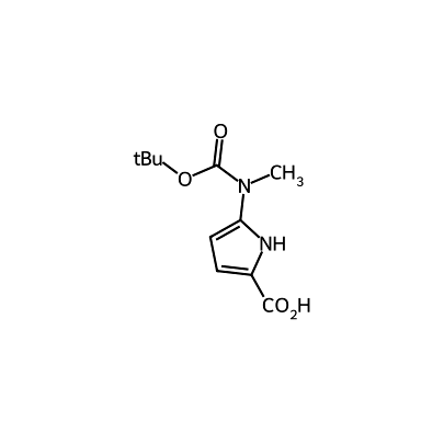 CN(C(=O)OC(C)(C)C)c1ccc(C(=O)O)[nH]1